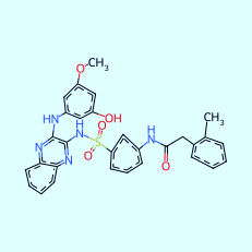 COc1cc(O)cc(Nc2nc3ccccc3nc2NS(=O)(=O)c2cccc(NC(=O)Cc3ccccc3C)c2)c1